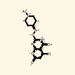 CCc1cc(=O)oc2nc(ON=C3CCN(C(C)=O)CC3)[nH]c(=O)c12